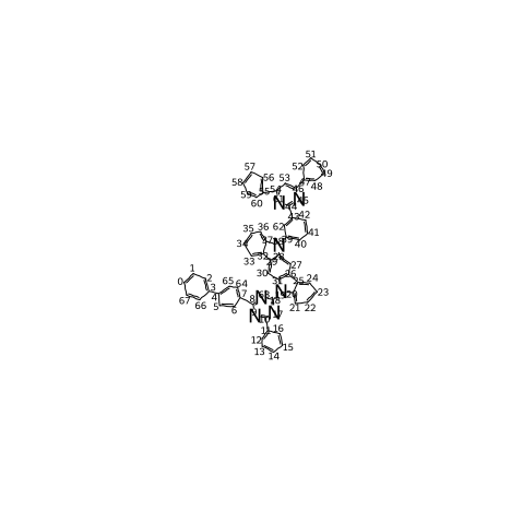 c1ccc(-c2ccc(-c3nc(-c4ccccc4)nc(-n4c5ccccc5c5cc6c(cc54)c4ccccc4n6-c4cccc(-c5nc(-c6ccccc6)cc(-c6ccccc6)n5)c4)n3)cc2)cc1